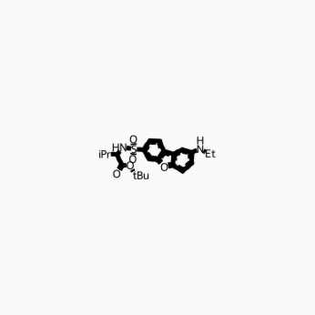 CCNc1ccc2oc3cc(S(=O)(=O)NC(C(=O)OC(C)(C)C)C(C)C)ccc3c2c1